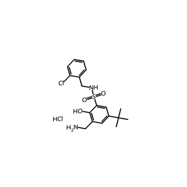 CC(C)(C)c1cc(CN)c(O)c(S(=O)(=O)NCc2ccccc2Cl)c1.Cl